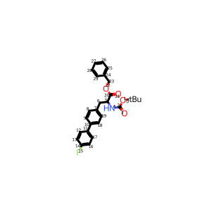 CC(C)(C)OC(=O)NC(Cc1ccc(-c2ccc(F)cc2)cc1)C(=O)OCc1ccccc1